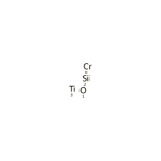 [Cr].[O].[Si].[Ti]